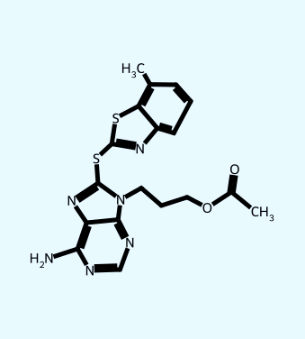 CC(=O)OCCCn1c(Sc2nc3cccc(C)c3s2)nc2c(N)ncnc21